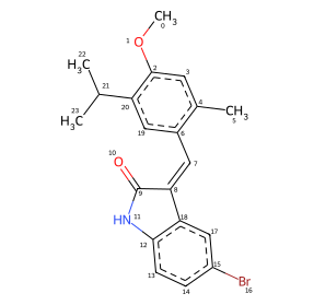 COc1cc(C)c(/C=C2\C(=O)Nc3ccc(Br)cc32)cc1C(C)C